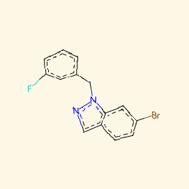 Fc1cccc(Cn2ncc3ccc(Br)cc32)c1